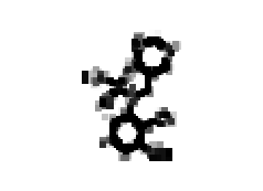 CS(=O)(=O)N(Cc1cncnc1)c1cccc(O)c1C#N